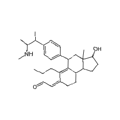 CCCC1=C2C(c3ccc(C(C)C(C)NC)cc3)CC3(C)C(O)CCC3C2CC/C1=C/C=O